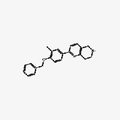 Cc1cc(-c2ccc3c(n2)CCNC3)ccc1OCc1ccccc1